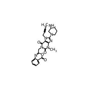 CC#CCn1c(N2CCCC(N)C2)nc2c1c(=O)n(Cc1nc3ccccc3c(=O)o1)c(=O)n2C